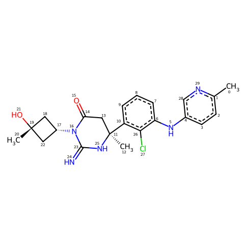 Cc1ccc(Nc2cccc([C@]3(C)CC(=O)N([C@H]4C[C@@](C)(O)C4)C(=N)N3)c2Cl)cn1